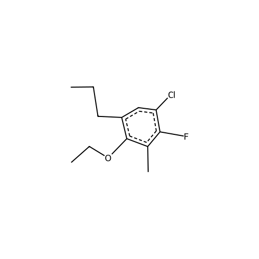 CCCc1cc(Cl)c(F)c(C)c1OCC